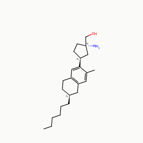 CCCCCC[C@H]1CCc2cc([C@H]3CC[C@@](N)(CO)C3)c(C)cc2C1